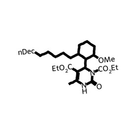 CCCCCCCCCCCCCCCC1CCCC(OC)C1C1C(C(=O)OCC)=C(C)NC(=O)N1C(=O)OCC